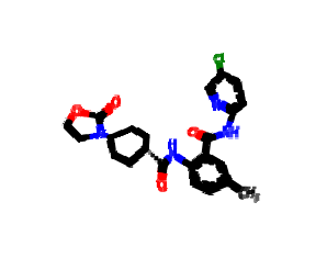 Cc1ccc(NC(=O)[C@H]2CC[C@H](N3CCOC3=O)CC2)c(C(=O)Nc2ccc(Cl)cn2)c1